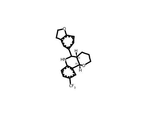 FC(F)(F)c1ccc2c(c1)[C@H]1OCCC[C@H]1C(c1ccc3c(c1)CCO3)N2